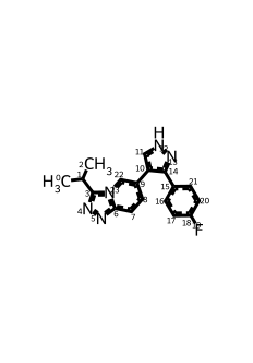 CC(C)c1nnc2ccc(-c3c[nH]nc3-c3ccc(F)cc3)cn12